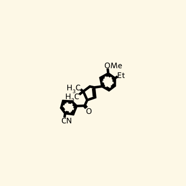 CCc1ccc(C2=CC(C(=O)c3cccc(C#N)c3)C(C)(C)C2)cc1OC